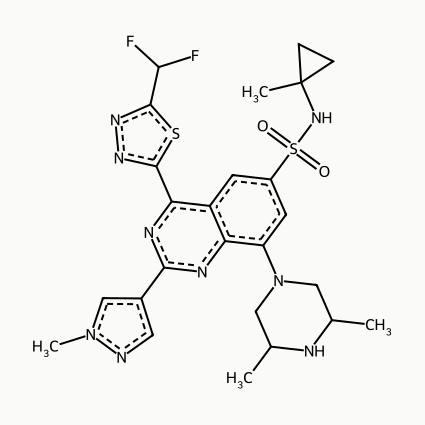 CC1CN(c2cc(S(=O)(=O)NC3(C)CC3)cc3c(-c4nnc(C(F)F)s4)nc(-c4cnn(C)c4)nc23)CC(C)N1